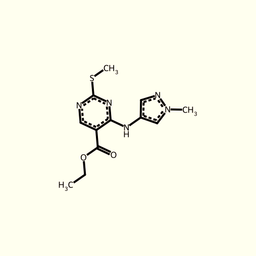 CCOC(=O)c1cnc(SC)nc1Nc1cnn(C)c1